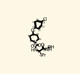 CC(C)[C@@H](NS(=O)(=O)N1CCC(Oc2ccc(Cl)cc2)CC1)C(=O)NO